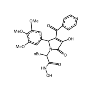 CCCCC(C(=O)NO)N1C(=O)C(O)=C(C(=O)c2ccncc2)C1c1cc(OC)c(OC)c(OC)c1